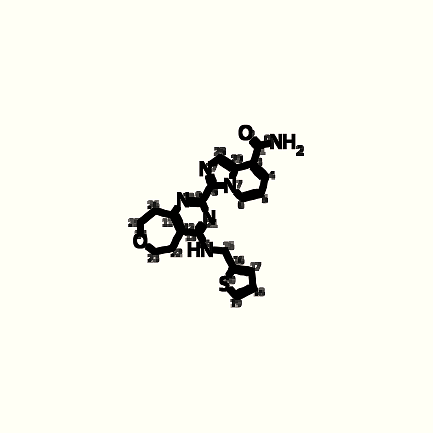 NC(=O)c1cccn2c(-c3nc4c(c(NCc5cccs5)n3)CCOCC4)ncc12